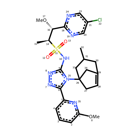 COc1cccc(-c2nnc(NS(=O)(=O)[C@@H](C)[C@H](OC)c3ncc(Cl)cn3)n2C23CC=C(CC(C)C2)C3)n1